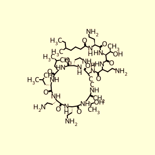 C=C1NCC[C@H](NC(=O)C(CCN)NC(=O)[C@@H](NC(=O)[C@H](CCN)NC(=O)CCCC(C)CC)[C@@H](C)O)C(=O)N[C@@H](CCN)C(=O)N[C@H](CC(C)C)C(=O)N[C@@H](CC(C)C)C(=O)N[C@@H](CCN)C(=O)N[C@@H](CCN)C(=O)N[C@H]1C(C)O